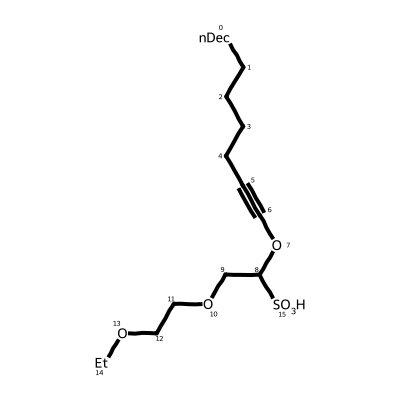 CCCCCCCCCCCCCCC#COC(COCCOCC)S(=O)(=O)O